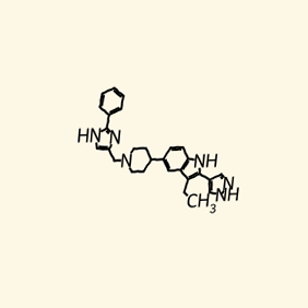 CCc1c(-c2cn[nH]c2)[nH]c2ccc(C3CCN(Cc4c[nH]c(-c5ccccc5)n4)CC3)cc12